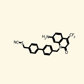 N#CSCc1ccc(-c2ccc(Cn3c(=O)cc(C(F)(F)F)c4ccc(N)cc43)cc2)cc1